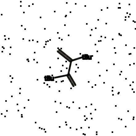 C=C(C(=C)C(C)(C)C)C(C)(C)C